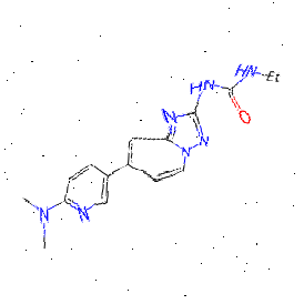 CCNC(=O)Nc1nc2cc(-c3ccc(N(C)C)nc3)ccn2n1